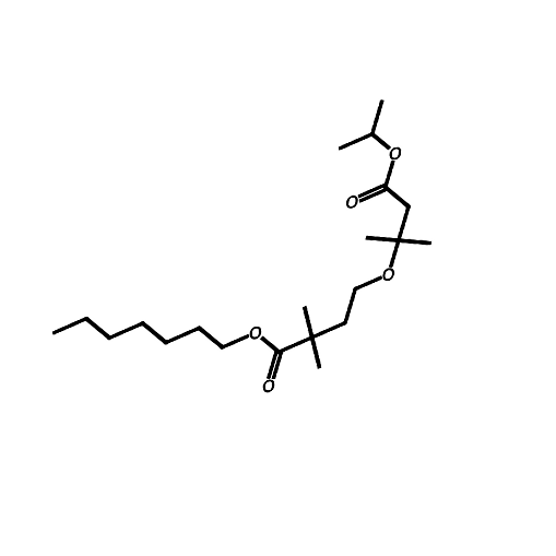 CCCCCCCOC(=O)C(C)(C)CCOC(C)(C)CC(=O)OC(C)C